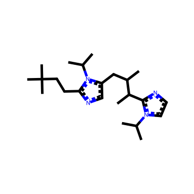 CC(Cc1cnc(CCC(C)(C)C)n1C(C)C)C(C)c1nccn1C(C)C